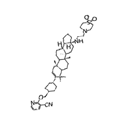 CC1(C)C(C2=CC[C@H](COc3ncccc3C#N)CC2)=CC[C@@]2(C)C1CC[C@]1(C)C2CC[C@@H]2[C@H]3CCC[C@]3(NCCN3CCS(=O)(=O)CC3)CC[C@]21C